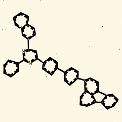 c1ccc(-c2nc(-c3ccc(-c4ccc(-c5ccc6c7c(cccc57)-c5ccccc5-6)cc4)cc3)cc(-c3ccc4ccccc4c3)n2)cc1